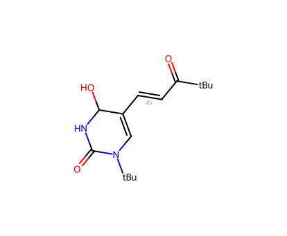 CC(C)(C)C(=O)/C=C/C1=CN(C(C)(C)C)C(=O)NC1O